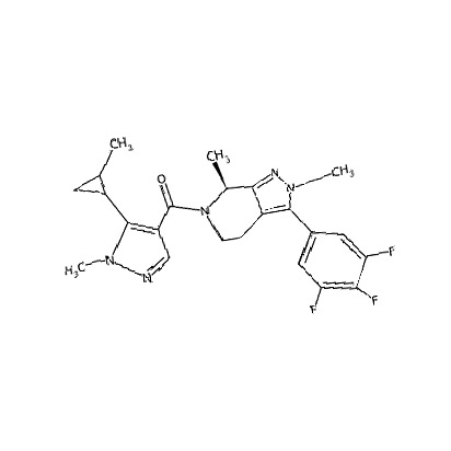 CC1CC1c1c(C(=O)N2CCc3c(nn(C)c3-c3cc(F)c(F)c(F)c3)[C@@H]2C)cnn1C